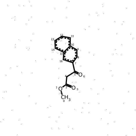 COC(=O)CC(=O)c1ccc2ccccc2c1